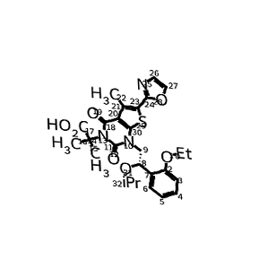 CCOc1ccccc1[C@@H](Cn1c(=O)n(C(C)(C)C(=O)O)c(=O)c2c(C)c(-c3ncco3)sc21)OC(C)C